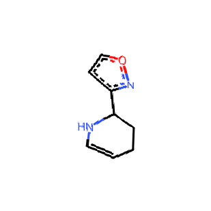 C1=CNC(c2ccon2)CC1